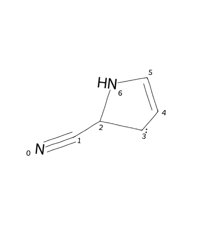 N#CC1[C]C=CN1